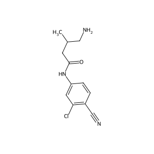 CC(CN)CC(=O)Nc1ccc(C#N)c(Cl)c1